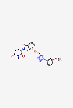 O=C1CCC(N2Cc3c(OCc4cn(-c5cccc(OC(F)(F)F)c5)nn4)cccc3C2=O)C(=O)N1